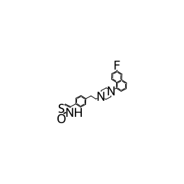 O=c1[nH]c(-c2ccc(CCN3CCN(c4cccc5cc(F)ccc45)CC3)cc2)cs1